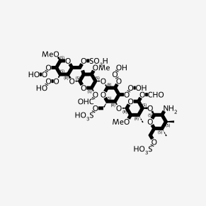 COC1[C@H](O[C@H]2C(OOO)C(OOO)[C@@H](O[C@H]3C(OC)C(C)[C@@H](O[C@@H]4C(COS(=O)(=O)O)O[C@H](OC)C(OOO)[C@H]4OOO)O[C@H]3OC=O)O[C@H]2COS(=O)(=O)O)OC(OC=O)[C@@H](O[C@@H]2OC(COS(=O)(=O)O)[C@@H](C)[C@H](C)C2N)[C@@H]1C